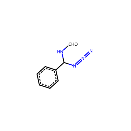 [N-]=[N+]=NC(NC=O)c1ccccc1